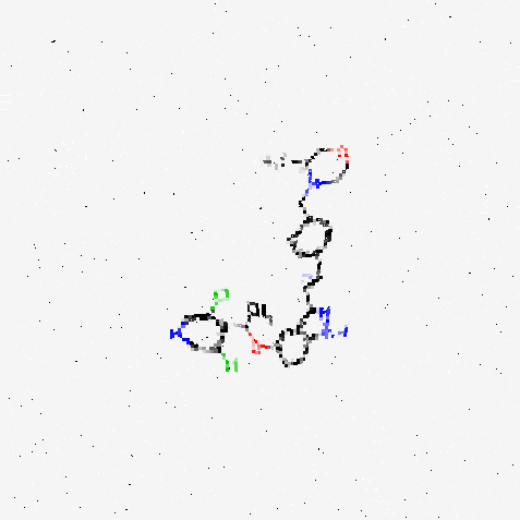 CC(Oc1ccc2[nH]nc(/C=C/c3ccc(CN4CCOC[C@@H]4C)cc3)c2c1)c1c(Cl)cncc1Cl